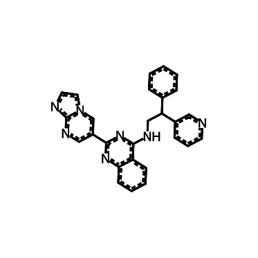 c1ccc(C(CNc2nc(-c3cnc4nccn4c3)nc3ccccc23)c2cccnc2)cc1